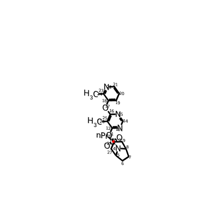 CCCS(=O)(=O)N1C2CCC1CC(Oc1ncnc(Oc3cccnc3C)c1C)C2